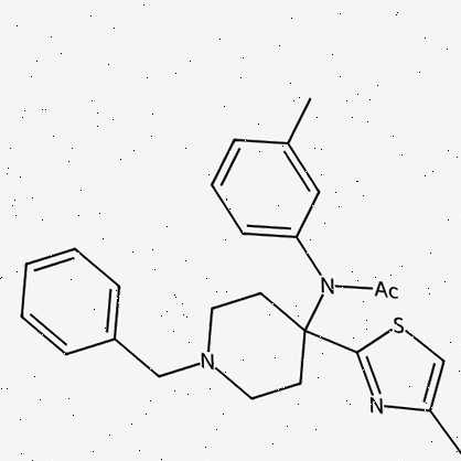 CC(=O)N(c1cccc(C)c1)C1(c2nc(C)cs2)CCN(Cc2ccccc2)CC1